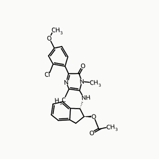 COc1ccc(-c2nc(C)c(N[C@H]3c4ccccc4C[C@@H]3OC(C)=O)n(C)c2=O)c(Cl)c1